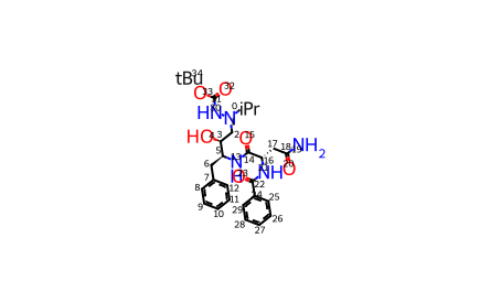 CC(C)N(C[C@H](O)[C@H](Cc1ccccc1)NC(=O)[C@H](CC(N)=O)NC(=O)c1ccccc1)NC(=O)OC(C)(C)C